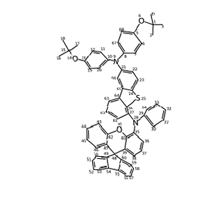 CC(C)(C)Oc1ccc(N(c2ccc(OC(C)(C)C)cc2)c2ccc3sc4c(N(c5ccccc5)c5cccc6c5Oc5ccccc5C65c6ccccc6-c6ccccc65)cccc4c3c2)cc1